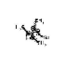 C=CCCCCOC(=O)C1=C[C@H](C(=O)OCCCC[C@@H](C)CC)CC(C2=CC(C(=O)OCCCCC=C)CC(C(O)OCCCCC=C)=C2)=C1